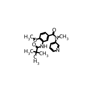 COc1ccc(C(=O)N(C)c2cccnc2)cc1NC(=O)C(C)(C)C